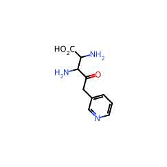 NC(C(=O)O)C(N)C(=O)Cc1cccnc1